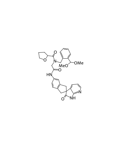 COC(OC)c1ccccc1CN(CC(=O)Nc1ccc2c(c1)CC1(C2)C(=O)Nc2ncccc21)C(=O)C1CCCO1